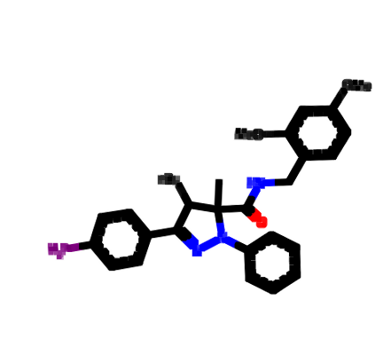 CCCCC1C(c2ccc(P)cc2)=NN(c2ccccc2)C1(C)C(=O)NCc1ccc(OC)cc1OC